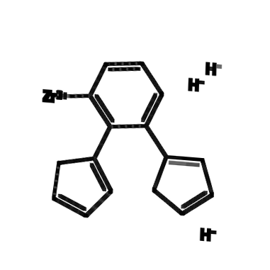 [H-].[H-].[H-].[Zr+3][c]1cccc(C2=CC=CC2)c1C1=CC=CC1